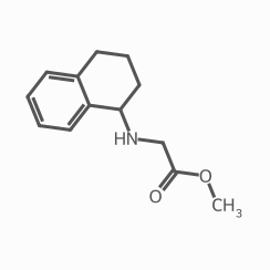 COC(=O)CNC1CCCc2ccccc21